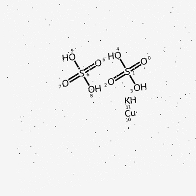 O=S(=O)(O)O.O=S(=O)(O)O.[Cu].[KH]